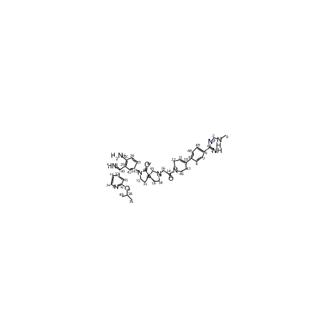 CN/C=N\C(=N)c1ccc(C2=CCN(C(=O)CN3CC[C@]4(CCN(c5ccc(N)c(C(=N)c6ccnc(OC(C)C)c6)c5)C4=O)C3)CC2)cc1